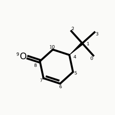 CC(C)(C)[C@H]1CC=CC(=O)C1